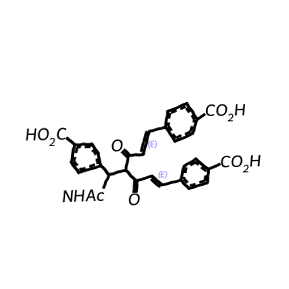 CC(=O)NC(c1ccc(C(=O)O)cc1)C(C(=O)/C=C/c1ccc(C(=O)O)cc1)C(=O)/C=C/c1ccc(C(=O)O)cc1